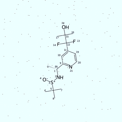 C[C@@H](N[S+]([O-])C(C)(C)C)c1cc(C(F)(F)C(C)(C)O)ccn1